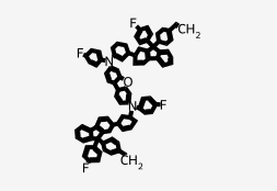 C=CC1=CCC(C2(c3ccc(F)cc3)C3=C(C=CC(C4C=CCC(N(C5=CC6OC7C=C(N(C8=CCC(F)C=C8)C8=CC(C9C=CC%10=C(C9)C(c9ccc(F)cc9)(C9CC=C(C=C)CC9)c9ccccc9%10)CCC8)C=CC7C6C=C5)c5ccc(F)cc5)C4)C3)c3ccccc32)C=C1